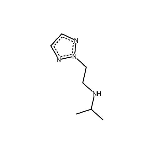 CC(C)NCCn1nccn1